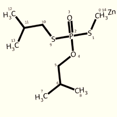 CSP(=O)(OCC(C)C)SCC(C)C.[Zn]